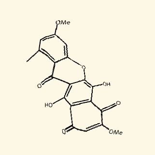 COC1=CC(=O)c2c(c(O)c3oc4cc(OC)cc(C)c4c(=O)c3c2O)C1=O